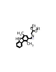 CCOC(C/N=C\c1cc(C)c2[nH]c3ccccc3c2c1C)OCC